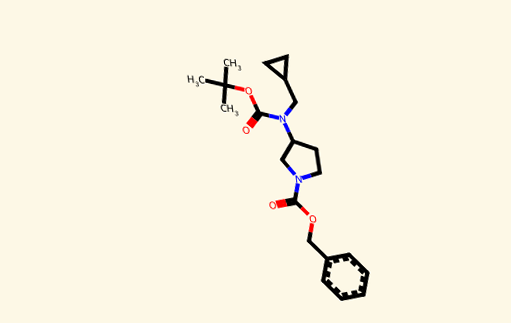 CC(C)(C)OC(=O)N(CC1CC1)C1CCN(C(=O)OCc2ccccc2)C1